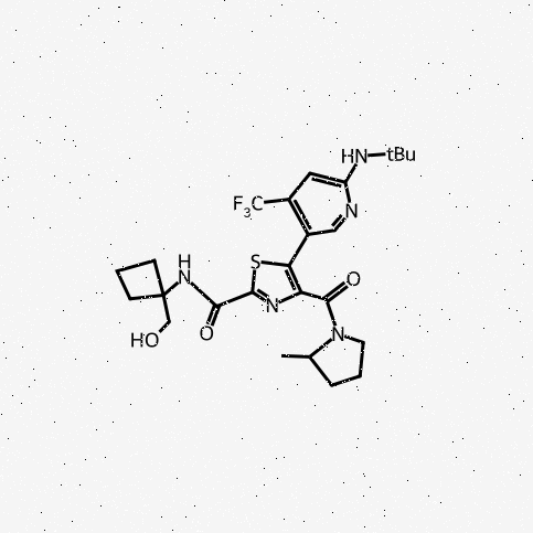 CC1CCCN1C(=O)c1nc(C(=O)NC2(CO)CCC2)sc1-c1cnc(NC(C)(C)C)cc1C(F)(F)F